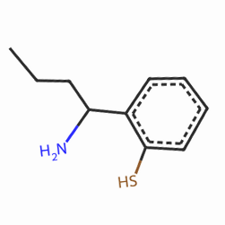 CCCC(N)c1ccccc1S